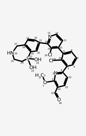 COc1nc(-c2cccc(-c3ccnc(-c4ccc5c(c4)S(O)(O)CCNC5)c3Cl)c2Cl)ccc1C=O